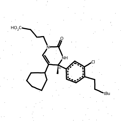 CC(C)(C)CCc1ccc([C@@]2(C)NC(=O)N(CCCC(=O)O)C=C2C2CCCCC2)cc1Cl